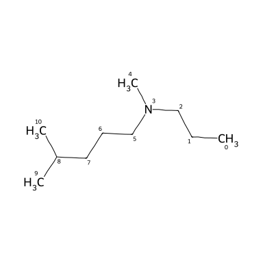 CCCN(C)CCCC(C)C